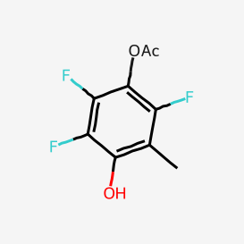 CC(=O)Oc1c(F)c(C)c(O)c(F)c1F